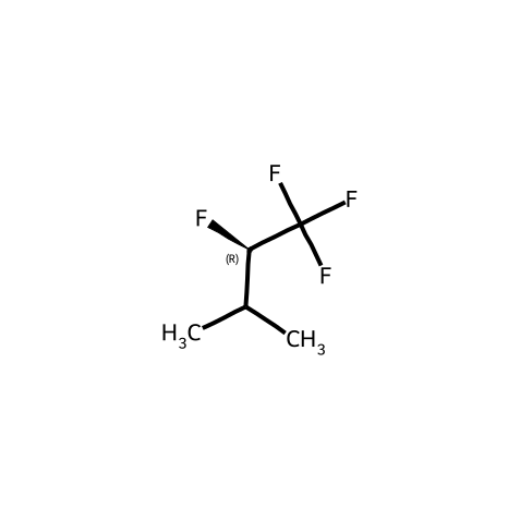 CC(C)[C@@H](F)C(F)(F)F